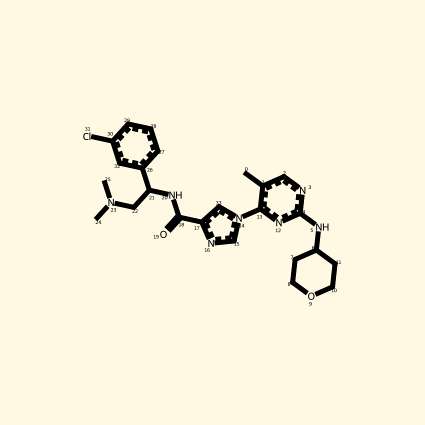 Cc1cnc(NC2CCOCC2)nc1-n1cnc(C(=O)NC(CN(C)C)c2cccc(Cl)c2)c1